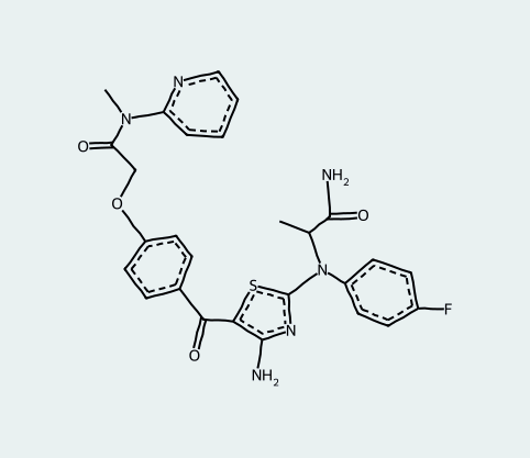 CC(C(N)=O)N(c1ccc(F)cc1)c1nc(N)c(C(=O)c2ccc(OCC(=O)N(C)c3ccccn3)cc2)s1